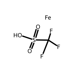 O=S(=O)(O)C(F)(F)F.[Fe]